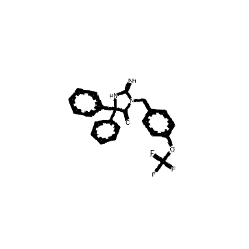 N=C1NC(c2ccccc2)(c2ccccc2)C(=O)N1Cc1ccc(OC(F)(F)F)cc1